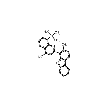 Cc1ccc2c(oc3ccccc32)c1-c1cc(C)c2cccc([Si](C)(C)C)c2n1